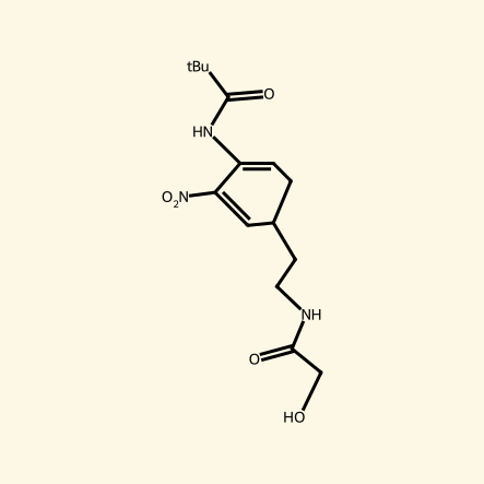 CC(C)(C)C(=O)NC1=CCC(CCNC(=O)CO)C=C1[N+](=O)[O-]